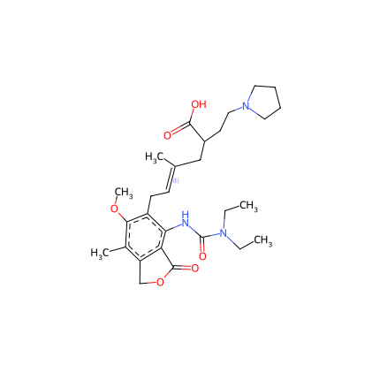 CCN(CC)C(=O)Nc1c(C/C=C(\C)CC(CCN2CCCC2)C(=O)O)c(OC)c(C)c2c1C(=O)OC2